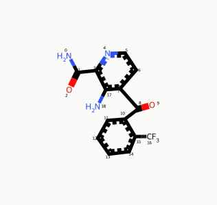 NC(=O)c1nccc(C(=O)c2ccccc2C(F)(F)F)c1N